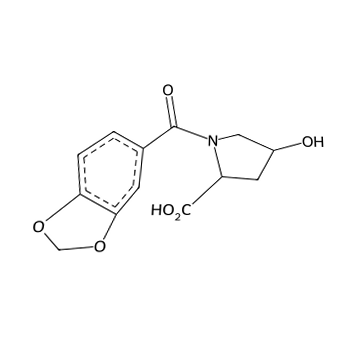 O=C(O)C1CC(O)CN1C(=O)c1ccc2c(c1)OCO2